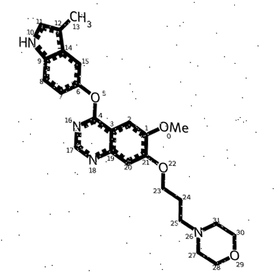 COc1cc2c(Oc3ccc4[nH]cc(C)c4c3)ncnc2cc1OCCCN1CCOCC1